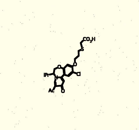 CC(=O)c1cn2c(cc1=O)-c1cc(Cl)c(OCCCSCC(=O)O)cc1OCC2C(C)C